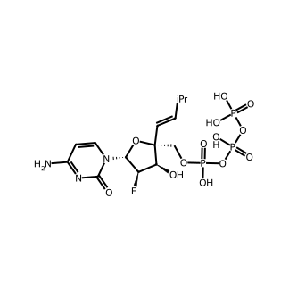 CC(C)/C=C/[C@]1(COP(=O)(O)OP(=O)(O)OP(=O)(O)O)O[C@@H](n2ccc(N)nc2=O)[C@H](F)[C@@H]1O